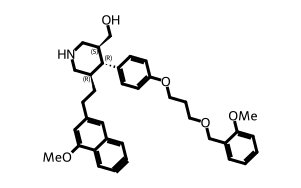 COc1ccccc1COCCCOc1ccc([C@H]2[C@H](CO)CNC[C@@H]2CCc2cc(OC)c3cc#ccc3c2)cc1